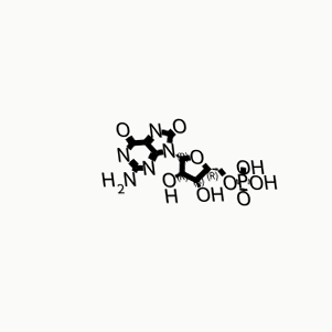 NC1=NC(=O)C2=NC(=O)N([C@@H]3O[C@H](COP(=O)(O)O)[C@@H](O)[C@H]3O)C2=N1